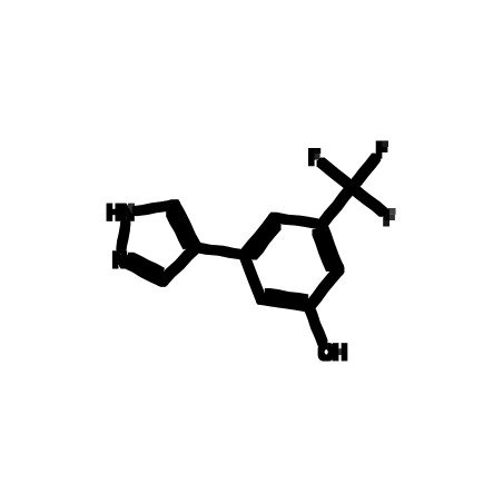 Oc1cc(-c2cn[nH]c2)cc(C(F)(F)F)c1